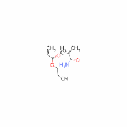 C=C(C)C(N)=O.C=CC(=O)OCCC#N